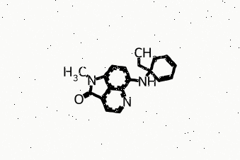 CCC1(Nc2ccc3c4c(ccnc24)C(=O)N3C)C=CC=CC1